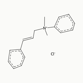 C[N+](C)(CC=Cc1ccccc1)c1ccccc1.[Cl-]